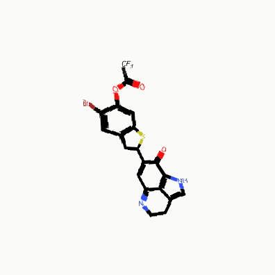 O=C1C(C2Cc3cc(Br)c(OC(=O)C(F)(F)F)cc3S2)=CC2=NCCc3c[nH]c1c32